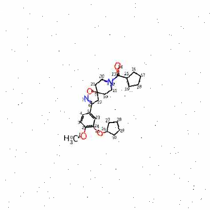 COc1ccc(C2=NOC3(CCN(C(=O)C4CCCC4)CC3)C2)cc1OC1CCCC1